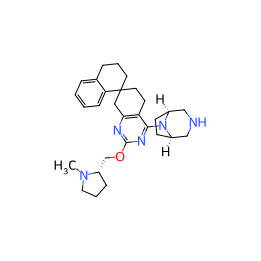 CN1CCC[C@H]1COc1nc2c(c(N3[C@@H]4CC[C@H]3CNC4)n1)CCC1(CCCc3ccccc31)C2